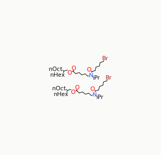 CCCCCCCCC(CCCCCC)COC(=O)CCCCCN(C(=O)CCCCCBr)C(C)C.CCCCCCCCC(CCCCCC)COC(=O)CCCCCN(C(=O)CCCCCBr)C(C)C